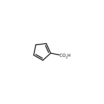 O=C(O)C1=CCC=C1